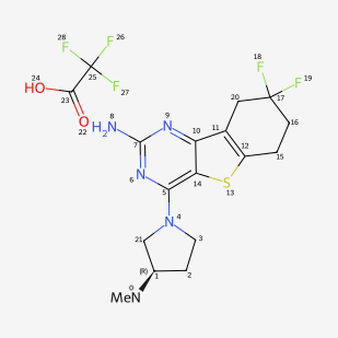 CN[C@@H]1CCN(c2nc(N)nc3c4c(sc23)CCC(F)(F)C4)C1.O=C(O)C(F)(F)F